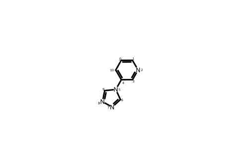 [c]1cncc(-n2cnnc2)c1